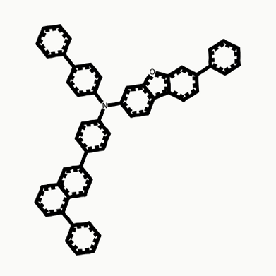 c1ccc(-c2ccc(N(c3ccc(-c4ccc5c(-c6ccccc6)cccc5c4)cc3)c3ccc4c(c3)oc3cc(-c5ccccc5)ccc34)cc2)cc1